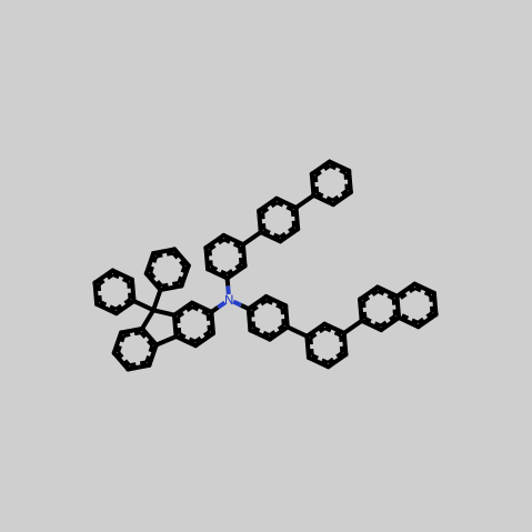 c1ccc(-c2ccc(-c3cccc(N(c4ccc(-c5cccc(-c6ccc7ccccc7c6)c5)cc4)c4ccc5c(c4)C(c4ccccc4)(c4ccccc4)c4ccccc4-5)c3)cc2)cc1